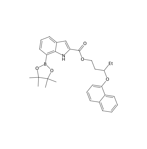 CCC(CCOC(=O)c1cc2cccc(B3OC(C)(C)C(C)(C)O3)c2[nH]1)Oc1cccc2ccccc12